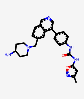 Cc1cc(NC(=O)Nc2ccc(-c3cncc4ccc(CN5CCC(N)CC5)cc34)cc2)on1